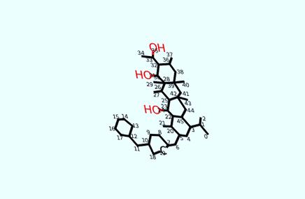 CC(C)C1CC(CC2CCC(CC3CCCCC3)CC2)C(C)C2C(O)C3C(C)C4(C)C(O)C(C(C)O)C(C)CC4(C)CC3(C)CC12